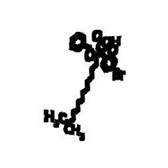 CC(C)CCCCCCCCCCCC(OCc1ccccc1)[C@](CC=O)(C(=O)O)c1ccc(Br)cc1